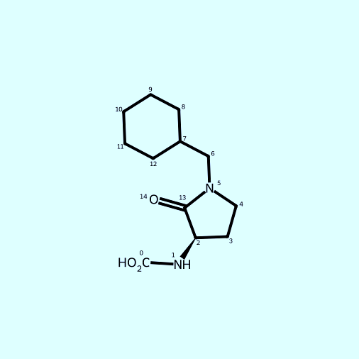 O=C(O)N[C@@H]1CCN(CC2CCCCC2)C1=O